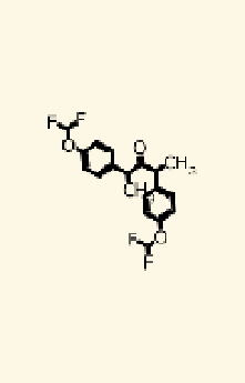 CC(C(=O)C(C)c1ccc(OC(F)F)cc1)c1ccc(OC(F)F)cc1